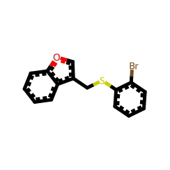 Brc1ccccc1SCc1coc2ccccc12